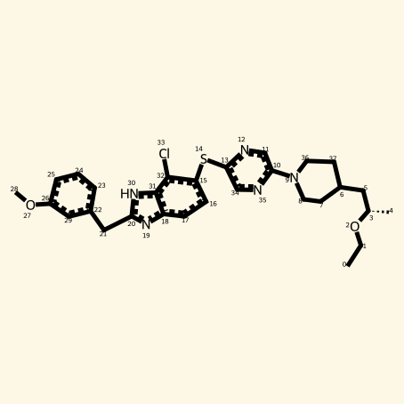 CCO[C@@H](C)CC1CCN(c2cnc(Sc3ccc4nc(Cc5cccc(OC)c5)[nH]c4c3Cl)cn2)CC1